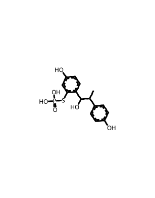 CC(c1ccc(O)cc1)C(O)c1ccc(O)cc1SP(=O)(O)O